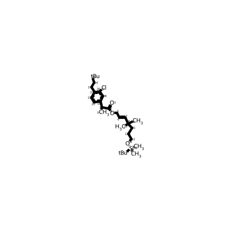 CC(C(=O)OC/C=C/C(C)(C)CCCO[Si](C)(C)C(C)(C)C)c1ccc(CCC(C)(C)C)c(Cl)c1